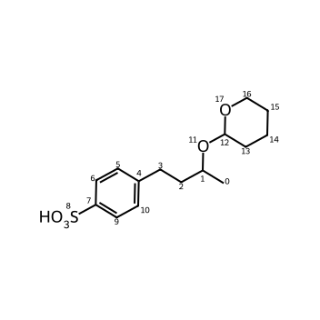 CC(CCc1ccc(S(=O)(=O)O)cc1)OC1CCCCO1